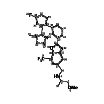 COCC(C)NCc1cc(C(F)(F)F)c2oc(-c3cccc(-c4ccc(F)cc4-c4nncn4C)c3)nc2c1